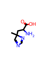 CC1(CC(N)C(=O)O)C=NC=N1